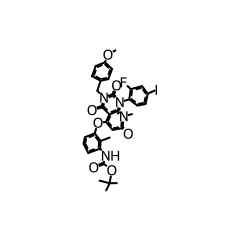 COc1ccc(Cn2c(=O)c3c(Oc4cccc(NC(=O)OC(C)(C)C)c4C)cc(=O)n(C)c3n(-c3ccc(I)cc3F)c2=O)cc1